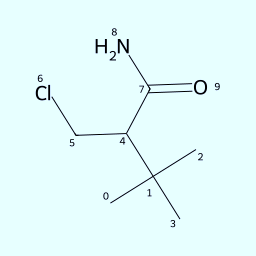 CC(C)(C)C(CCl)C(N)=O